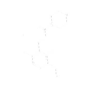 CCCOc1ccc(F)c(COC(=O)N2CCNC[C@H]2CC)c1F.Cl